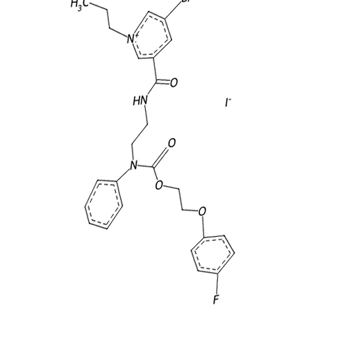 CCC[n+]1cc(Br)cc(C(=O)NCCN(C(=O)OCCOc2ccc(F)cc2)c2ccccc2)c1.[I-]